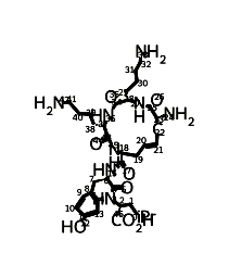 CC(C)C[C@H](NC(=O)[C@@H](Cc1ccc(O)cc1)NC(=O)[C@@H]1C/C=C/C[C@H](N)C(=O)N[C@@H](CCCCN)C(=O)N[C@@H](CCCCN)C(=O)N1)C(=O)O